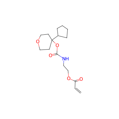 C=CC(=O)OCCNC(=O)OC1(C2CCCC2)CCOCC1